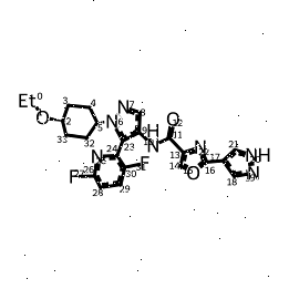 CCO[C@H]1CC[C@H](n2ncc(NC(=O)c3coc(-c4cn[nH]c4)n3)c2-c2nc(F)ccc2F)CC1